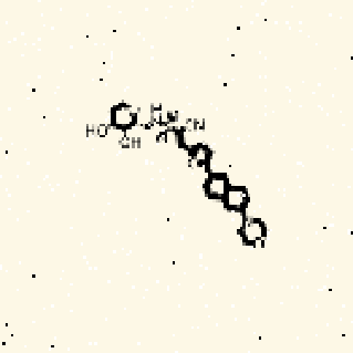 N#C/C(=C\c1ccc(-c2ccc3cc(N4CCOCC4)ccc3c2)o1)S(=O)(=O)NC[C@H]1OCC[C@@H](O)[C@@H]1O